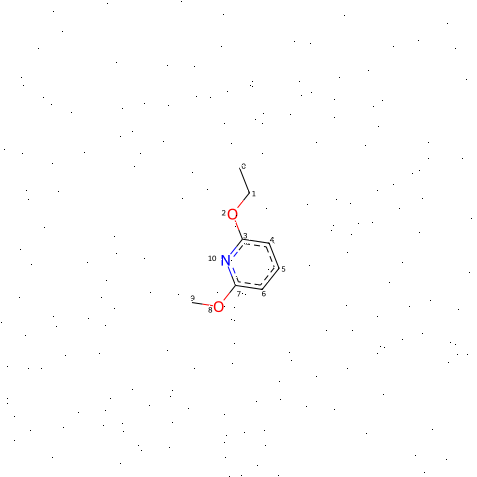 CCOc1[c]ccc(OC)n1